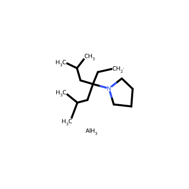 [AlH3].[CH2]CC(CC(C)C)(CC(C)C)N1CCCC1